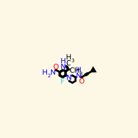 Cc1[nH]c2c(C(N)=O)cc(F)c(N3CCCC(NC(=O)C#CC4CC4)C3)c2c1C